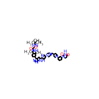 Cc1cc(-c2ncnc3[nH]c(-c4ccc(N5CCN(CC6CCN(c7cccc(N8CCC(=O)NC8=O)c7)CC6)CC5)cn4)cc23)ccc1[C@@H](C)NC(=O)c1nc(C(C)(C)C)no1